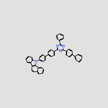 c1ccc(-c2ccc(-c3nc(-c4ccccc4)nc(-c4ccc(-c5ccc(-n6c7ccccc7c7ccc8ccccc8c76)cc5)cc4)n3)cc2)cc1